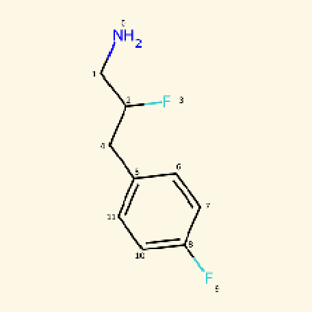 NCC(F)Cc1ccc(F)cc1